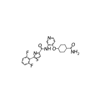 NC(=O)C1CCC(Oc2ccncc2NC(=O)c2csc(-c3c(F)cccc3F)n2)CC1